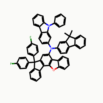 CC1(C)c2ccccc2-c2ccc(N(c3ccc4c5ccccc5n(-c5ccccc5)c4c3)c3cc4c(c5oc6ccccc6c35)-c3ccccc3C4(c3ccc(F)cc3)c3ccc(F)cc3)cc21